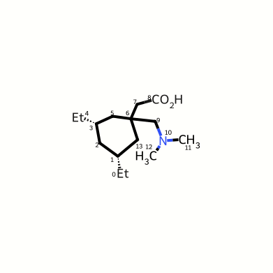 CC[C@@H]1C[C@H](CC)CC(CC(=O)O)(CN(C)C)C1